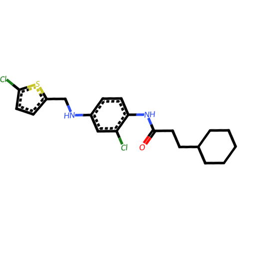 O=C(CCC1CCCCC1)Nc1ccc(NCc2ccc(Cl)s2)cc1Cl